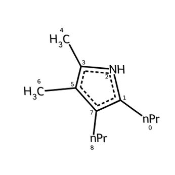 CCCc1[nH]c(C)c(C)c1CCC